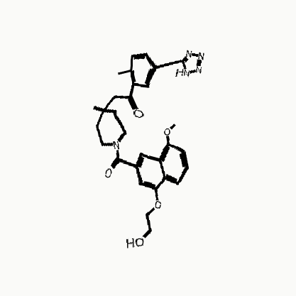 COc1cccc2c(OCCO)cc(C(=O)N3CCC(C)(CC(=O)c4cc(-c5nnn[nH]5)ccc4C)CC3)cc12